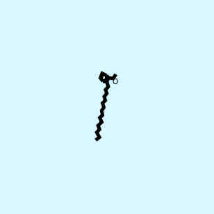 CCCCCCCCCCCCCCCCC1C2C=CC(C2)C1C(C)=O